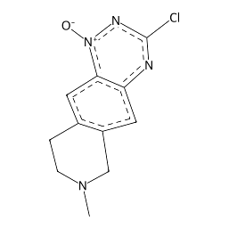 CN1CCc2cc3c(cc2C1)nc(Cl)n[n+]3[O-]